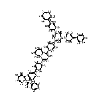 O=P(c1ccccc1)(c1ccccc1)c1ccc(-c2ccc(-c3ccc(-c4ccc(-c5nc(-c6ccc(-c7ccccc7)cc6)nc(-c6ccc(-c7ccccc7)cc6)n5)cc4)c4ccccc34)cc2)cc1